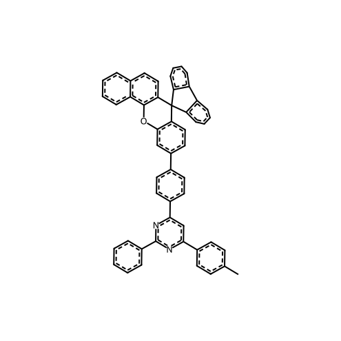 Cc1ccc(-c2cc(-c3ccc(-c4ccc5c(c4)Oc4c(ccc6ccccc46)C54c5ccccc5-c5ccccc54)cc3)nc(-c3ccccc3)n2)cc1